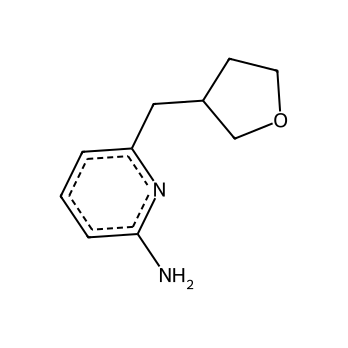 Nc1cccc(CC2CCOC2)n1